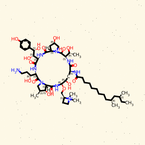 CC[C@H](C)C[C@H](C)CCCCCCCCC(=O)N[C@H]1C[C@@H](O)[C@@H](OC[C@@H]2CC[N+]2(C)C)NC(=O)[C@@H]2[C@@H](O)[C@@H](C)CN2C(=O)[C@H]([C@H](O)CCN)NC(=O)[C@H]([C@H](O)[C@@H](O)c2ccc(O)cc2)NC(=O)[C@@H]2C[C@@H](O)CN2C(O)[C@H]([C@@H](C)O)NC1=O